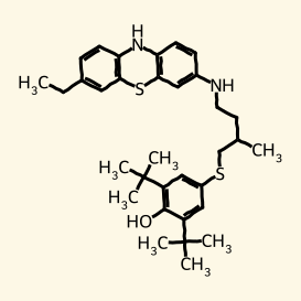 CCc1ccc2c(c1)Sc1cc(NCCC(C)CSc3cc(C(C)(C)C)c(O)c(C(C)(C)C)c3)ccc1N2